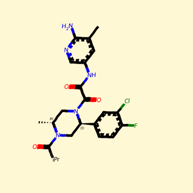 Cc1cc(NC(=O)C(=O)N2C[C@@H](C)N(C(=O)C(C)C)C[C@@H]2c2ccc(F)c(Cl)c2)cnc1N